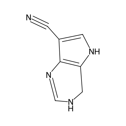 N#Cc1c[nH]c2c1N=CNC2